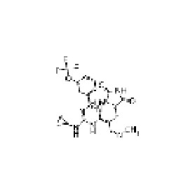 C\N=C/C(/C=C1/C(=O)NC(=O)N1N)=C1/N=C(c2cccc(OC(F)(F)F)c2)N=C(NC2CC2)N1